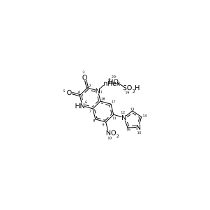 CCCCCCn1c(=O)c(=O)[nH]c2cc([N+](=O)[O-])c(-n3ccnc3)cc21.O=S(=O)(O)O